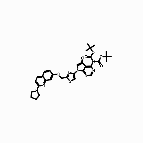 CC(C)(C)OC(=O)N(C(=O)OC(C)(C)C)c1ncnc2c1c(Cl)cn2-c1csc(COc2ccc3ccc(N4CCCC4)nc3c2)n1